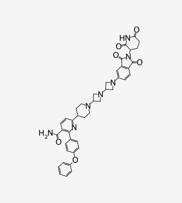 NC(=O)c1ccc(C2CCN(C3CN(C4CN(c5ccc6c(c5)C(=O)N(C5CCC(=O)NC5=O)C6=O)C4)C3)CC2)nc1-c1ccc(Oc2ccccc2)cc1